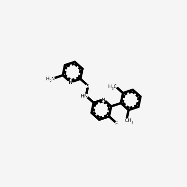 Cc1cccc(C)c1-c1nc(NSc2cccc(N)n2)ccc1F